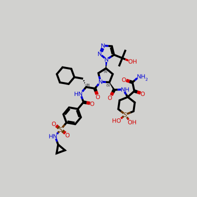 CC(C)(O)c1cnnn1[C@H]1C[C@@H](C(=O)NC2(C(=O)C(N)=O)CCS(O)(O)CC2)N(C(=O)[C@@H](CC2CCCCC2)NC(=O)c2ccc(S(=O)(=O)NC3CC3)cc2)C1